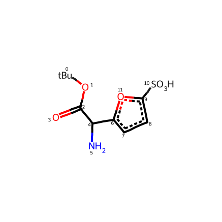 CC(C)(C)OC(=O)C(N)c1ccc(S(=O)(=O)O)o1